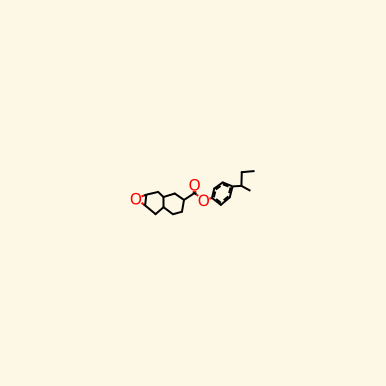 CCC(C)c1ccc(OC(=O)C2CCC3CC4OC4CC3C2)cc1